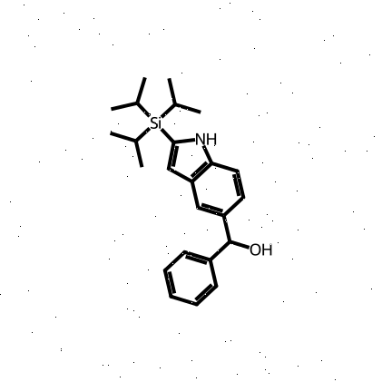 CC(C)[Si](c1cc2cc(C(O)c3ccccc3)ccc2[nH]1)(C(C)C)C(C)C